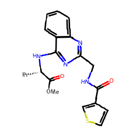 COC(=O)[C@@H](Nc1nc(CNC(=O)c2ccsc2)nc2ccccc12)C(C)C